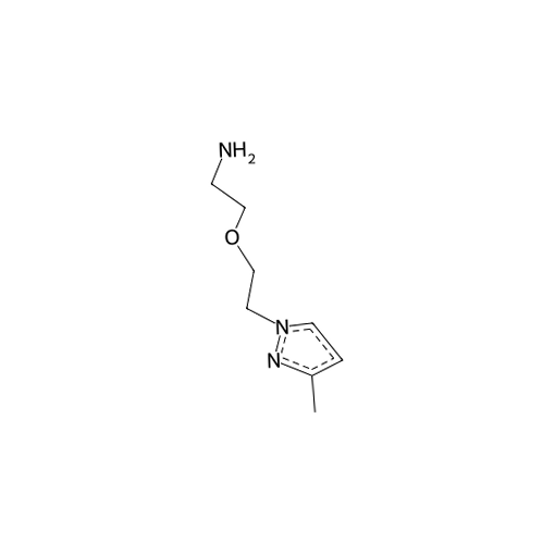 Cc1ccn(CCOCCN)n1